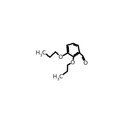 CCCOc1cccc(C=O)c1OCCC